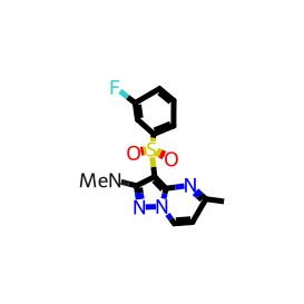 CNc1nn2ccc(C)nc2c1S(=O)(=O)c1cccc(F)c1